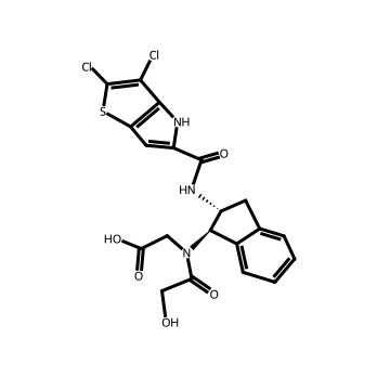 O=C(O)CN(C(=O)CO)[C@@H]1c2ccccc2C[C@H]1NC(=O)c1cc2sc(Cl)c(Cl)c2[nH]1